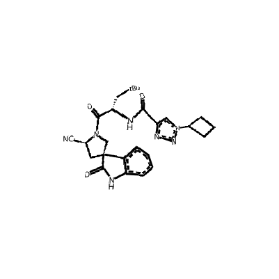 CC(C)(C)C[C@H](NC(=O)c1cn(C2CCC2)nn1)C(=O)N1C[C@]2(C[C@H]1C#N)C(=O)Nc1ccccc12